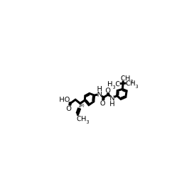 CC#C[C@H](CC(=O)O)c1ccc(NC(=O)C(=O)Nc2cccc(C(C)(C)C)c2)cc1